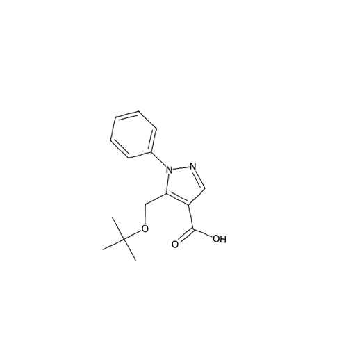 CC(C)(C)OCc1c(C(=O)O)cnn1-c1ccccc1